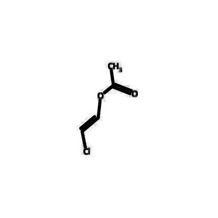 CC(=O)OC=CCl